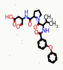 CC(C)C(NC(=O)c1cccc(Oc2ccccc2)c1)C(=O)N1CCCC1C(=O)NC(C=O)CC(=O)O